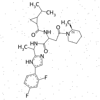 CC(NC(=O)C(CC(=O)N1CCCC[C@@H]1C)NC(=O)C1CC1C(C)C)c1ncc(-c2ccc(F)cc2F)[nH]1